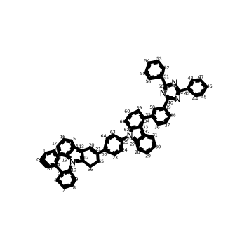 c1cccc(-c2ccccc2-n2c3c(c4ccccc42)C=C(c2ccc(-n4c5ccccc5c5c(-c6cccc(-c7nc(-c8ccccc8)nc(-c8ccccc8)n7)c6)cccc54)cc2)CC3)c#1